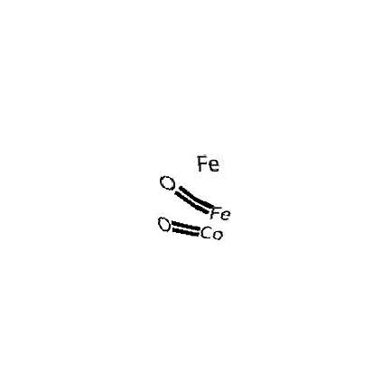 [Fe].[O]=[Co].[O]=[Fe]